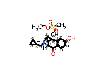 CCOS(C)(=O)=O.C[C@H]1[C@H]2C(=O)c3ccc(O)cc3[C@]1(C)CCN2CC1CC1